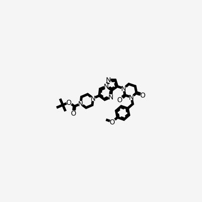 COc1ccc(CN2C(=O)CCN(c3cnn4cc(N5CCN(C(=O)OC(C)(C)C)CC5)cnc34)C2=O)cc1